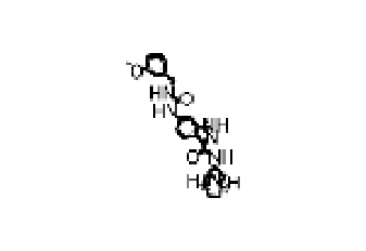 COc1cccc(CNC(=O)Nc2ccc3c(C(=O)N[C@H]4C[C@H]5CC[C@@H](C4)N5C)n[nH]c3c2)c1